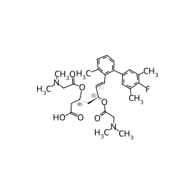 Cc1cc(-c2cccc(C)c2/C=C/[C@H](C[C@H](CC(=O)O)OC(=O)CN(C)C)OC(=O)CN(C)C)cc(C)c1F